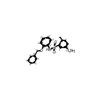 Cc1ccc(O)cc1S(=O)(=O)Nc1ccccc1OCc1ccccc1